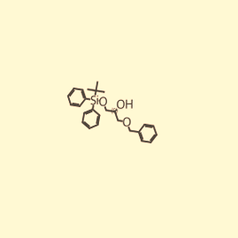 CC(C)(C)[Si](OC[C@@H](O)COCc1ccccc1)(c1ccccc1)c1ccccc1